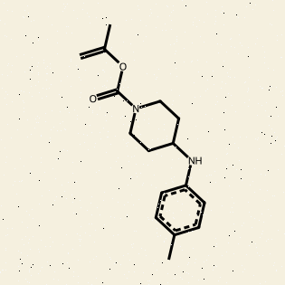 C=C(C)OC(=O)N1CCC(Nc2ccc(C)cc2)CC1